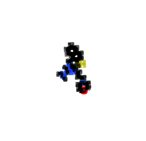 CN(C)CCN(Cc1cccc2ccccc12)[C@@H](S)NCCCN1CCOCC1